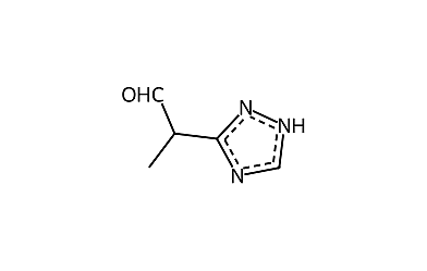 CC(C=O)c1nc[nH]n1